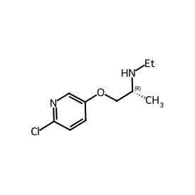 CCN[C@H](C)COc1ccc(Cl)nc1